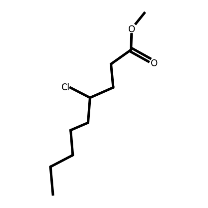 CCCCCC(Cl)CCC(=O)OC